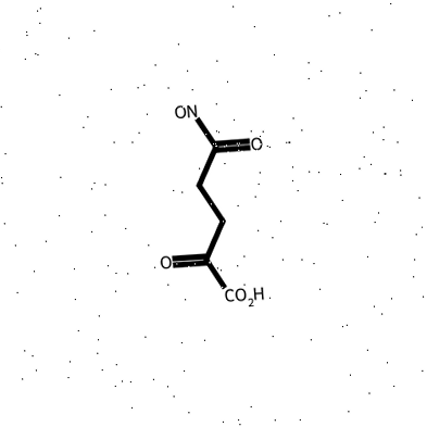 O=NC(=O)CCC(=O)C(=O)O